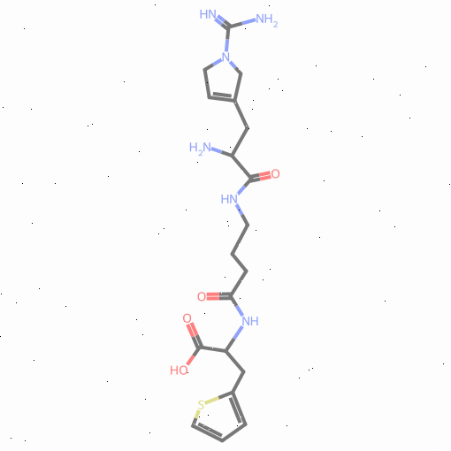 N=C(N)N1CC=C(CC(N)C(=O)NCCCC(=O)NC(Cc2cccs2)C(=O)O)C1